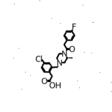 C[C@H]1CN(Cc2cc(Cl)ccc2CC(=O)O)CCN1C(=O)Cc1ccc(F)cc1